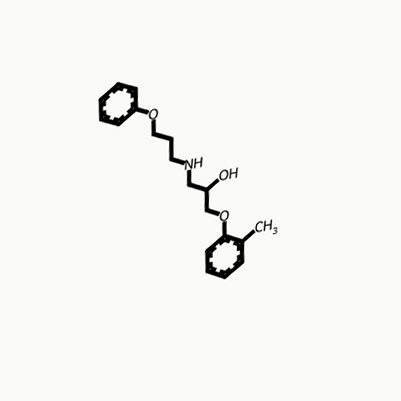 Cc1ccccc1OCC(O)CNCCCOc1ccccc1